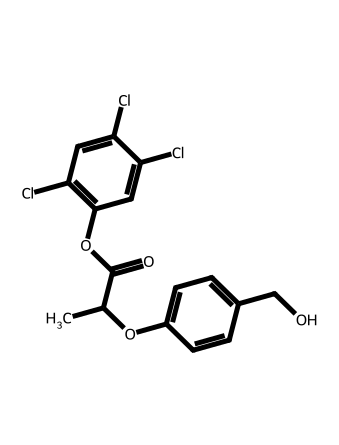 CC(Oc1ccc(CO)cc1)C(=O)Oc1cc(Cl)c(Cl)cc1Cl